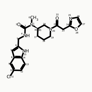 CN(C(=O)NCc1cc2cc(Cl)ccc2[nH]1)[C@@H]1CCCN(C(=O)Cc2ncco2)C1